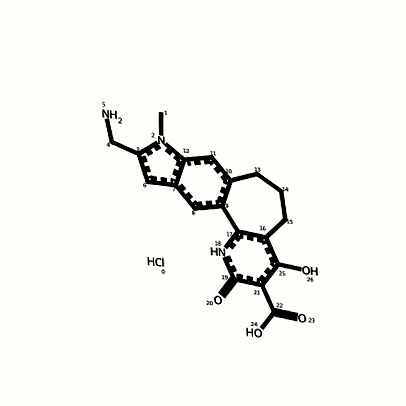 Cl.Cn1c(CN)cc2cc3c(cc21)CCCc1c-3[nH]c(=O)c(C(=O)O)c1O